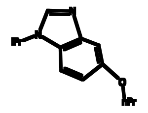 CCCOc1ccc2c(c1)ncn2C(C)C